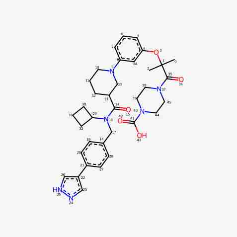 CC(C)(Oc1cccc(N2CCCC(C(=O)N(Cc3ccc(-c4cn[nH]c4)cc3)C3CCC3)C2)c1)C(=O)N1CCN(C(=O)O)CC1